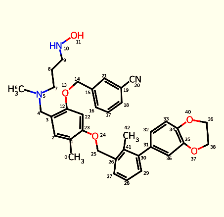 Cc1cc(CN(C)CCCNO)c(OCc2cccc(C#N)c2)cc1OCc1cccc(-c2ccc3c(c2)OCCO3)c1C